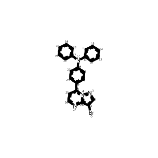 Brc1cnn2c(-c3ccc(N(c4ccccc4)c4ccccc4)cc3)ccnc12